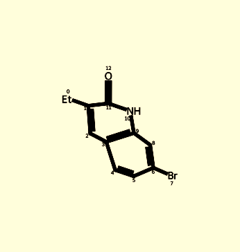 CCc1cc2ccc(Br)cc2[nH]c1=O